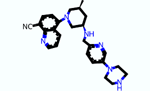 C[C@H]1C[C@@H](NCc2ccc(N3CCNCC3)cn2)CN(c2ccc(C#N)c3ncccc23)C1